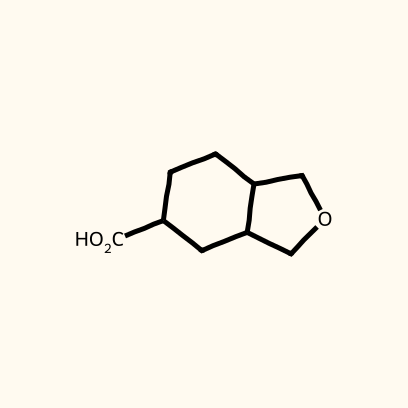 O=C(O)C1CCC2COCC2C1